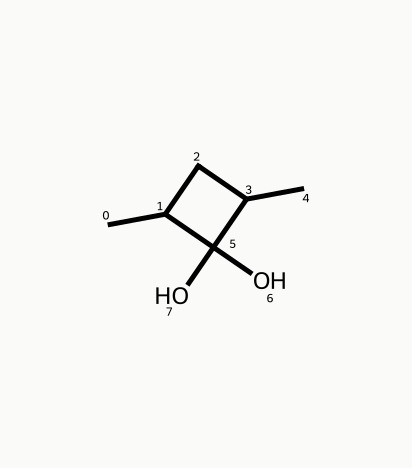 CC1CC(C)C1(O)O